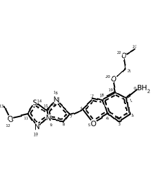 Bc1ccc2oc(-c3cn4nc(OC)sc4n3)cc2c1OCOC